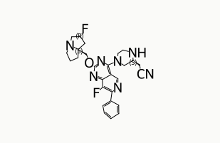 N#CC[C@H]1CN(c2nc(OC[C@@]34CCCN3C[C@H](F)C4)nc3c(F)c(-c4ccccc4)ncc23)CCN1